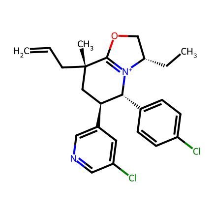 C=CC[C@@]1(C)C[C@H](c2cncc(Cl)c2)[C@@H](c2ccc(Cl)cc2)[N+]2=C1OC[C@@H]2CC